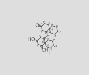 C[C@H]1CC(O)C[C@@H](CC2CC(=O)CCC23CCCCC3)C12CCCCC2